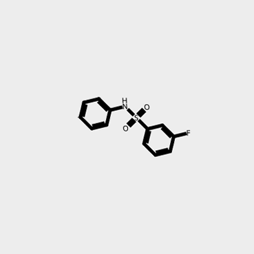 O=S(=O)(Nc1cc[c]cc1)c1cccc(F)c1